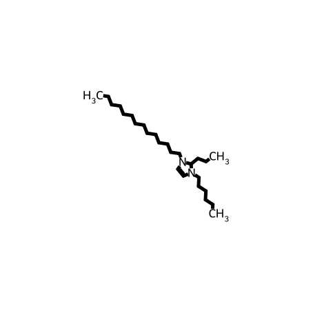 CCCCCCCCCCCCCCN1C=CN(CCCCCC)C1CCC